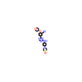 N#Cc1cc(-c2ncnc(Nc3ccc(N4CC[S+]([O-])CC4)cc3)n2)ccc1OC1CCOCC1